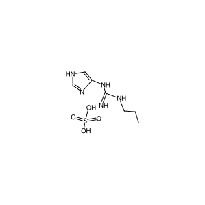 CCCNC(=N)Nc1c[nH]cn1.O=S(=O)(O)O